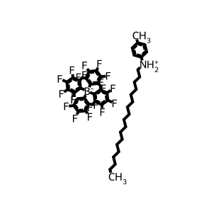 CCCCCCCCCCCCCCCCCC[NH2+]c1ccc(C)cc1.Fc1c(F)c(F)c([B-](c2c(F)c(F)c(F)c(F)c2F)(c2c(F)c(F)c(F)c(F)c2F)c2c(F)c(F)c(F)c(F)c2F)c(F)c1F